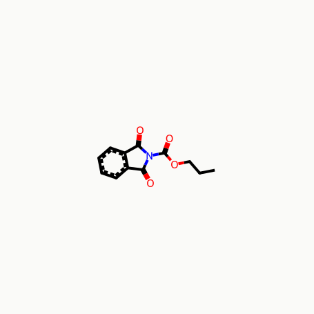 CCCOC(=O)N1C(=O)c2ccccc2C1=O